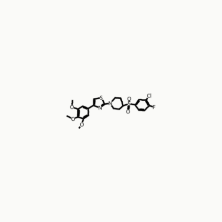 COc1cc(-c2csc(N3CCC(S(=O)(=O)c4ccc(F)c(Cl)c4)CC3)n2)cc(OC)c1OC